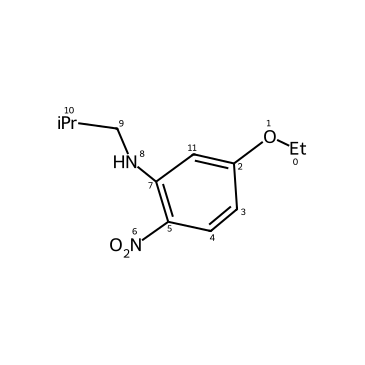 CCOc1ccc([N+](=O)[O-])c(NCC(C)C)c1